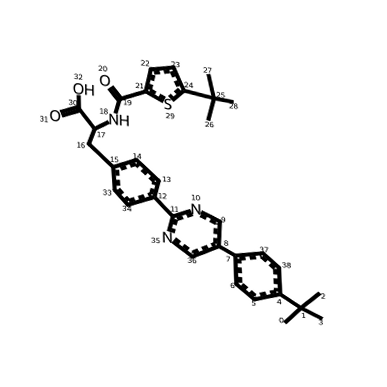 CC(C)(C)c1ccc(-c2cnc(-c3ccc(CC(NC(=O)c4ccc(C(C)(C)C)s4)C(=O)O)cc3)nc2)cc1